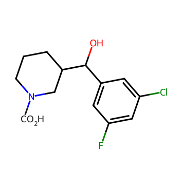 O=C(O)N1CCCC(C(O)c2cc(F)cc(Cl)c2)C1